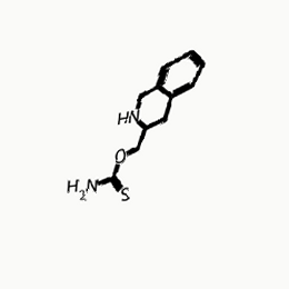 NC(=S)OCC1Cc2ccccc2CN1